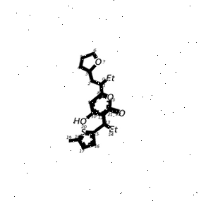 CCC(CC1CCCO1)c1cc(O)c(C(CC)c2ccc(C)s2)c(=O)o1